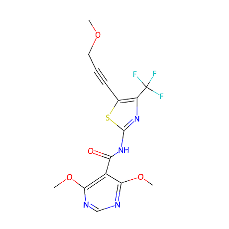 COCC#Cc1sc(NC(=O)c2c(OC)ncnc2OC)nc1C(F)(F)F